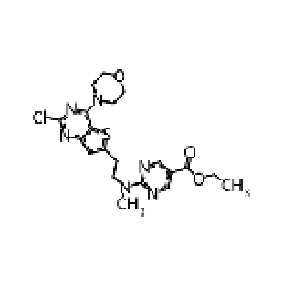 CCOC(=O)c1cnc(N(C)CCc2cc3nc(Cl)nc(N4CCOCC4)c3s2)nc1